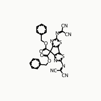 N#CC(C#N)=Nc1nc2c(s1)-c1sc(N=C(C#N)C#N)nc1C2(C(=O)OCc1ccccc1)C(=O)OCc1ccccc1